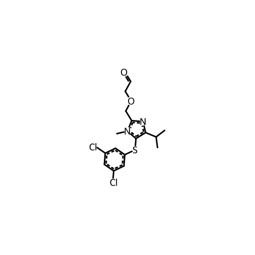 CC(C)c1nc(COCC=O)n(C)c1Sc1cc(Cl)cc(Cl)c1